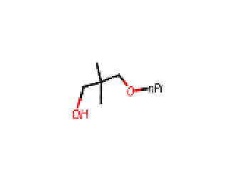 C[CH]COCC(C)(C)CO